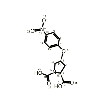 O=C(O)[C@@H]1C[C@H](Oc2ccc([N+](=O)[O-])cc2)CN1C(=O)O